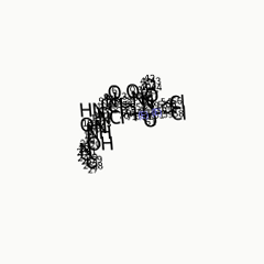 O=C(CCCC(=O)N1CCC(Nc2cc(C(=O)NCC(O)CN3CCc4ccccc4C3)ncn2)CC1)NC(Cc1ccccc1)C(=O)N1C/C(=C\c2ccc(Cl)c(Cl)c2)C(=O)/C(=C/c2ccc(Cl)c(Cl)c2)C1